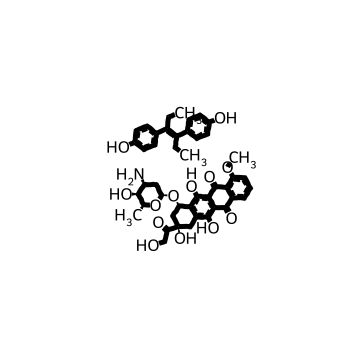 CC/C(=C(/CC)c1ccc(O)cc1)c1ccc(O)cc1.COc1cccc2c1C(=O)c1c(O)c3c(c(O)c1C2=O)C[C@@](O)(C(=O)CO)C[C@@H]3O[C@H]1C[C@H](N)[C@H](O)[C@H](C)O1